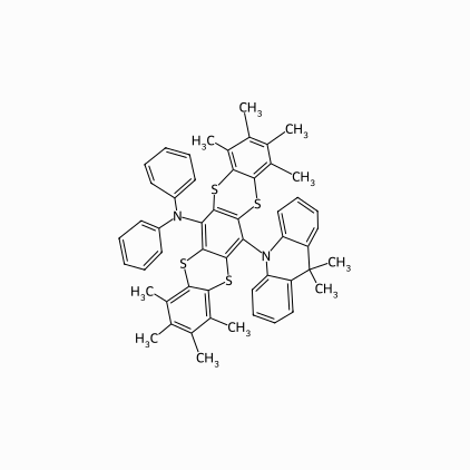 Cc1c(C)c(C)c2sc3c(N4c5ccccc5C(C)(C)c5ccccc54)c4sc5c(C)c(C)c(C)c(C)c5sc4c(N(c4ccccc4)c4ccccc4)c3sc2c1C